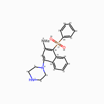 CNc1cc(N2CCNCC2)c2ccccc2c1S(=O)(=O)c1ccccc1